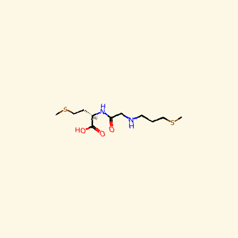 CSCCCNCC(=O)N[C@@H](CCSC)C(=O)O